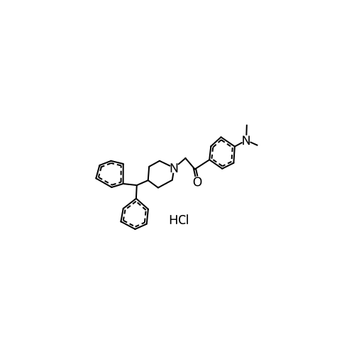 CN(C)c1ccc(C(=O)CN2CCC(C(c3ccccc3)c3ccccc3)CC2)cc1.Cl